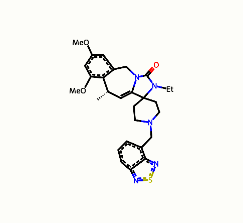 CCN1C(=O)N2Cc3cc(OC)cc(OC)c3[C@@H](C)C=C2C12CCN(Cc1cccc3nsnc13)CC2